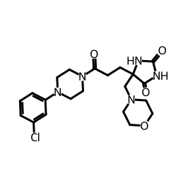 O=C1NC(=O)C(CCC(=O)N2CCN(c3cccc(Cl)c3)CC2)(CN2CCOCC2)N1